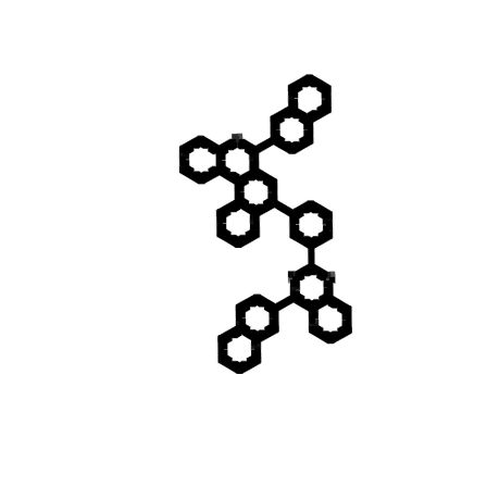 c1cc(-c2nc(-c3ccc4ccccc4c3)c3ccccc3n2)cc(-c2cc3c(-c4ccc5ccccc5c4)nc4ccccc4c3c3ccccc23)c1